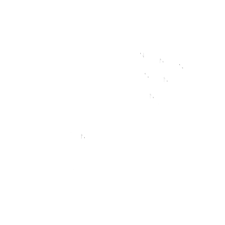 c1ccc(-c2ccc3c(c2)c2cc(-c4ccccc4)ccc2n3-c2ccc(-c3ccc4c(c3)c3ccccc3n4-c3nc(-n4c5ccccc5c5ccccc54)nc(-n4c5ccccc5c5ccccc54)n3)cc2)cc1